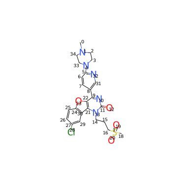 CN1CCN(c2ccc(-c3nc(=O)n(CCCS(C)(=O)=O)c4c3oc3ccc(Cl)cc34)cn2)CC1